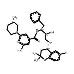 CCc1ccc2c(c1)[C@@H](NC[C@H](O)[C@H](Cc1ccccc1)NC(=O)c1cc(C)nc(N3CCC[C@H](C)C3)c1)CC(C)(C)O2